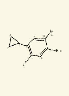 Fc1cc(F)c(C2CC2)cc1Br